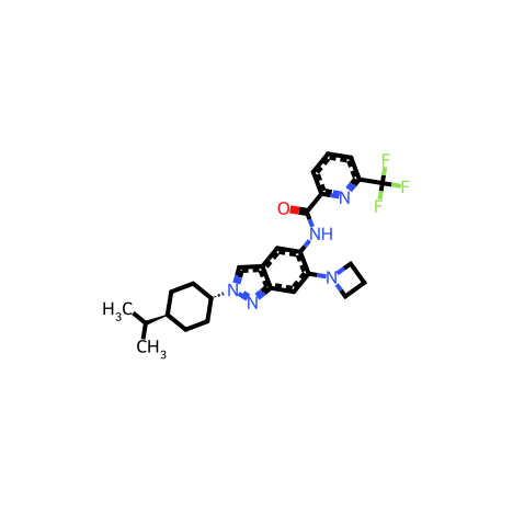 CC(C)[C@H]1CC[C@H](n2cc3cc(NC(=O)c4cccc(C(F)(F)F)n4)c(N4CCC4)cc3n2)CC1